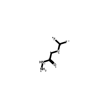 NNC(=O)COC(F)F